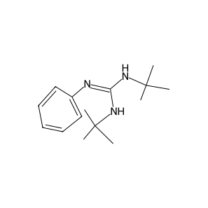 CC(C)(C)NC(=Nc1ccccc1)NC(C)(C)C